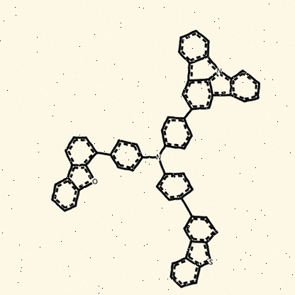 c1ccc2c(c1)oc1c(-c3ccc(N(c4ccc(-c5ccc6sc7ccccc7c6c5)cc4)c4ccc(-c5cc6c7ccccc7n7c8ccccc8c(c5)c67)cc4)cc3)cccc12